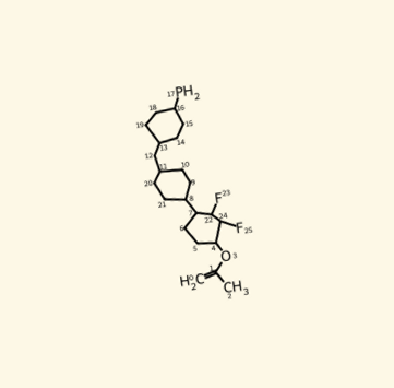 C=C(C)OC1CCC(C2CCC(CC3CCC(P)CC3)CC2)C(F)C1F